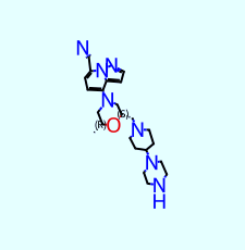 C[C@@H]1CN(c2ccc(C#N)n3nccc23)C[C@H](CN2CCC(N3CCNCC3)CC2)O1